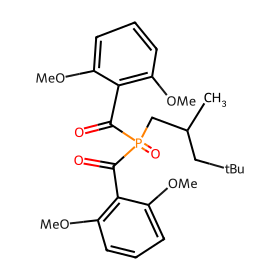 COc1cccc(OC)c1C(=O)P(=O)(CC(C)CC(C)(C)C)C(=O)c1c(OC)cccc1OC